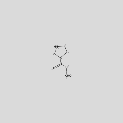 O=COC(=O)C1CCNC1